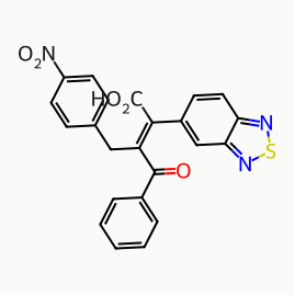 O=C(O)C(=C(Cc1ccc([N+](=O)[O-])cc1)C(=O)c1ccccc1)c1ccc2nsnc2c1